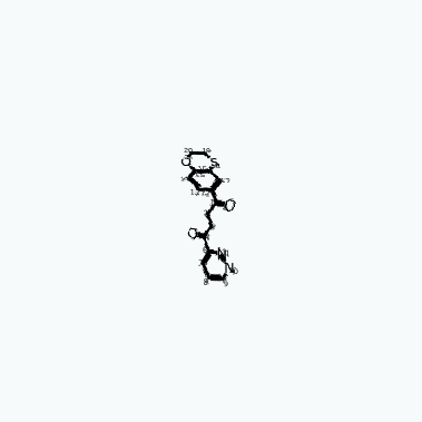 O=C(CCC(=O)c1cccnn1)c1ccc2c(c1)SCCO2